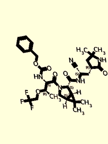 C[C@@H](OCC(F)(F)F)[C@H](NC(=O)OCc1ccccc1)C(=O)N1C[C@H]2[C@@H]([C@H]1C(=O)N[C@H](C#N)C[C@@H]1CC(C)(C)NC1=O)C2(C)C